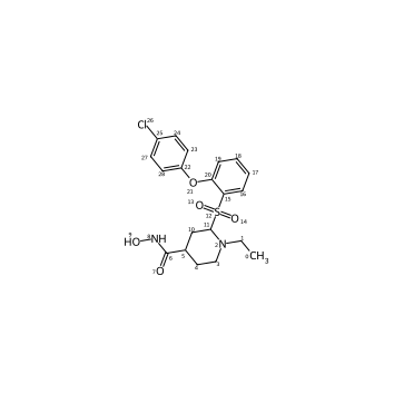 CCN1CCC(C(=O)NO)CC1S(=O)(=O)c1ccccc1Oc1ccc(Cl)cc1